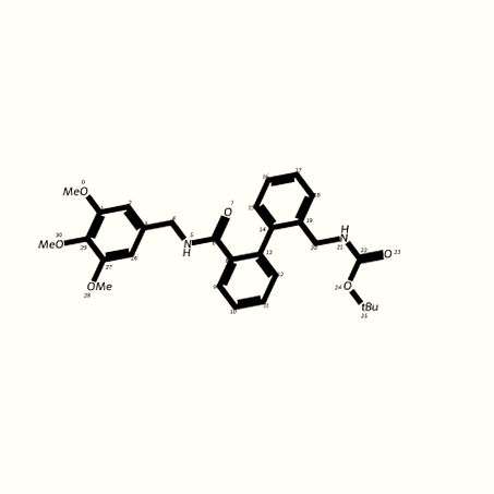 COc1cc(CNC(=O)c2ccccc2-c2ccccc2CNC(=O)OC(C)(C)C)cc(OC)c1OC